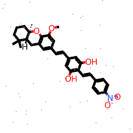 COc1cc(/C=C/c2cc(O)c(/C=C/c3ccc([N+](=O)[O-])cc3)c(O)c2)cc2c1O[C@]1(C)CCCC(C)(C)[C@H]1C2